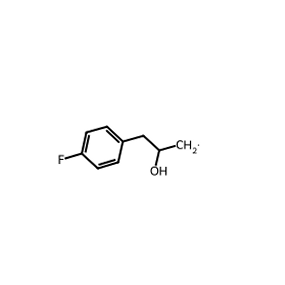 [CH2]C(O)Cc1ccc(F)cc1